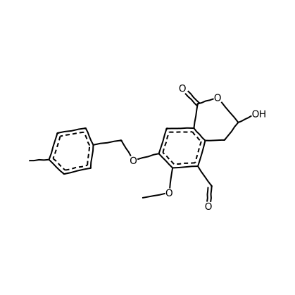 COc1c(OCc2ccc(C)cc2)cc2c(c1C=O)CC(O)OC2=O